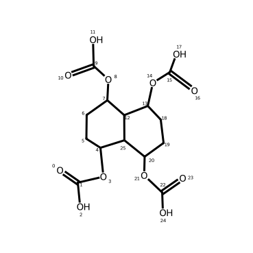 O=C(O)OC1CCC(OC(=O)O)C2C(OC(=O)O)CCC(OC(=O)O)C12